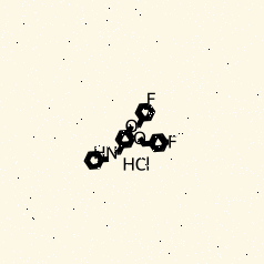 Cl.Fc1ccc(COc2ccc(CNCC3CCCCC3)cc2OCc2ccc(F)cc2)cc1